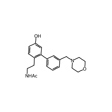 CC(=O)NCCc1ccc(O)cc1-c1cccc(CN2CCOCC2)c1